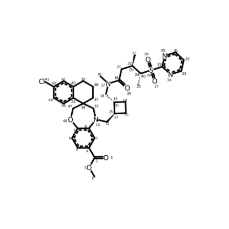 COC(=O)c1ccc2c(c1)N(C[C@@H]1CC[C@H]1CN(C)C(=O)C[C@@H](C)[C@@H](C)S(=O)(=O)c1ncccn1)CC1(CCCc3cc(Cl)ccc31)CO2